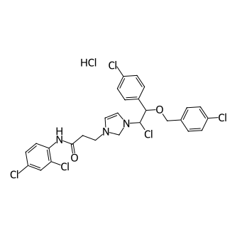 Cl.O=C(CCN1C=CN(C(Cl)C(OCc2ccc(Cl)cc2)c2ccc(Cl)cc2)C1)Nc1ccc(Cl)cc1Cl